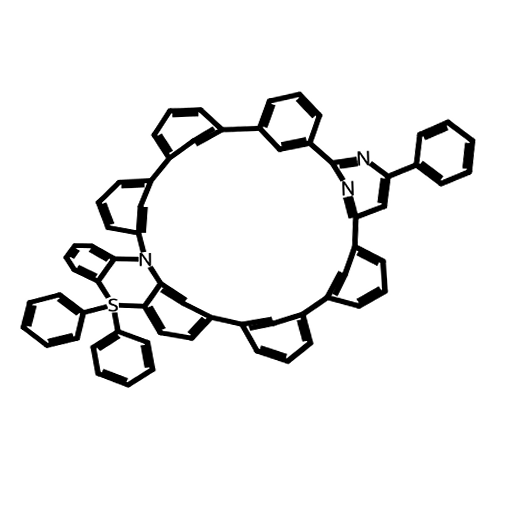 c1ccc(-c2cc3nc(n2)-c2cccc(c2)-c2cccc(c2)-c2cccc(c2)N2c4ccccc4S(c4ccccc4)(c4ccccc4)c4ccc(cc42)-c2cccc(c2)-c2cccc-3c2)cc1